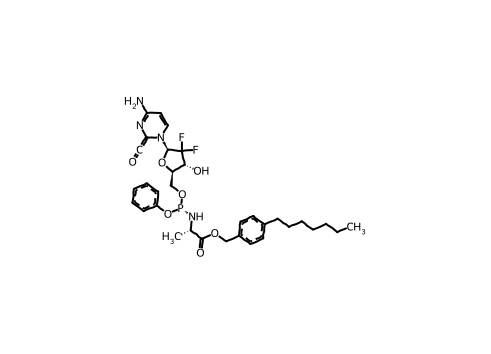 CCCCCCCc1ccc(COC(=O)[C@H](C)N[P@@](OC[C@H]2O[C@@H](N3C=CC(N)=NC3=C=O)C(F)(F)[C@@H]2O)Oc2ccccc2)cc1